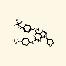 N[C@H]1CC[C@H](Nc2nc(Nc3ccc(OC(F)(F)F)cc3)c3ncn(C4CCOC4)c3n2)CC1